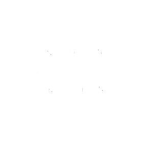 CCc1c(N)c(C)cc(C)c1N.CCc1cc(CC)c(N)c(C)c1N